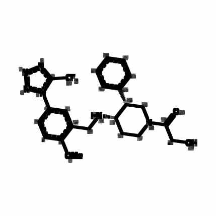 COc1ccc(-n2nnnc2C(F)(F)F)cc1CN[C@H]1CCN(C(=O)CO)C[C@H]1c1ccccc1